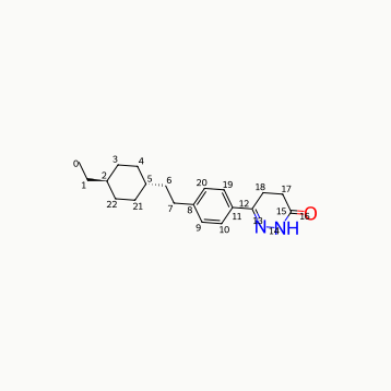 CC[C@H]1CC[C@H](CCc2ccc(C3=NNC(=O)CC3)cc2)CC1